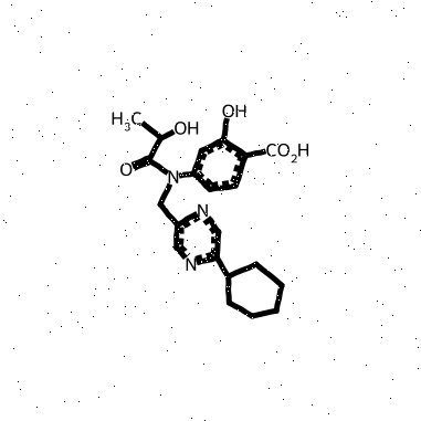 CC(O)C(=O)N(Cc1cnc(C2CCCCC2)cn1)c1ccc(C(=O)O)c(O)c1